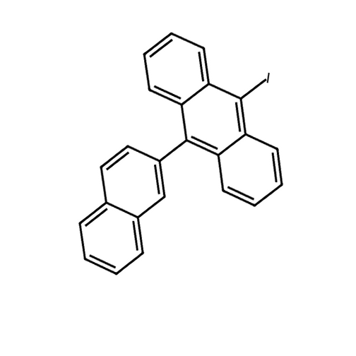 Ic1c2ccccc2c(-c2ccc3ccccc3c2)c2ccccc12